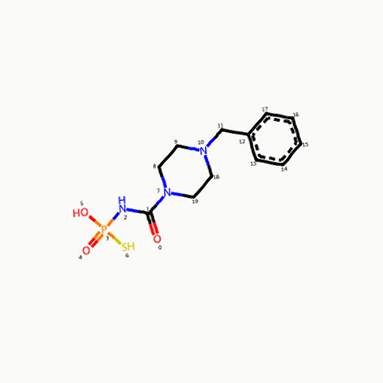 O=C(NP(=O)(O)S)N1CCN(Cc2ccccc2)CC1